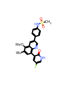 COc1c(C(C)(C)C)cc(-c2cc(F)c[nH]c2=O)c2ncc(-c3ccc(NS(C)(=O)=O)cc3)cc12